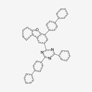 c1ccc(-c2ccc(-c3nc(-c4ccccc4)nc(-c4cc(-c5ccc(-c6ccccc6)cc5)c5oc6ccccc6c5c4)n3)cc2)cc1